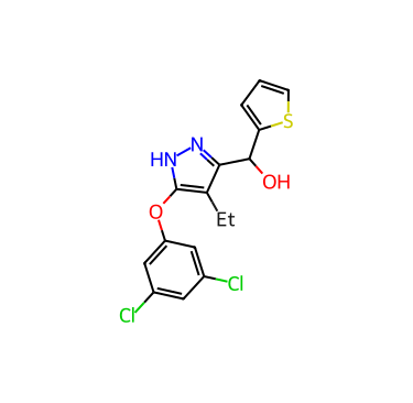 CCc1c(C(O)c2cccs2)n[nH]c1Oc1cc(Cl)cc(Cl)c1